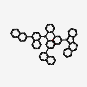 c1cc(-c2cccc3ccccc23)cc(N(c2ccccc2-c2cccc(-n3c4ccccc4c4ccc5ccccc5c43)c2)c2ccc(-c3ccc4ccccc4c3)c3ccccc23)c1